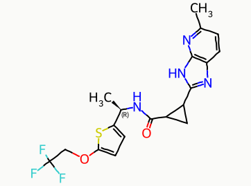 Cc1ccc2nc(C3CC3C(=O)N[C@H](C)c3ccc(OCC(F)(F)F)s3)[nH]c2n1